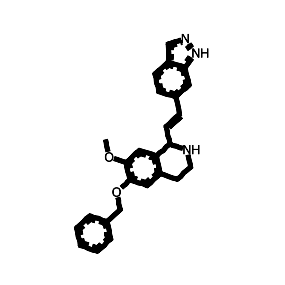 COc1cc2c(cc1OCc1ccccc1)CCNC2/C=C/c1ccc2cn[nH]c2c1